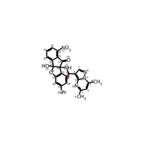 Cc1cc(C)n2ncc(C(=O)NC34C(=O)c5c([N+](=O)[O-])cccc5C3(O)Oc3cc(C(C)C)ccc34)c2n1